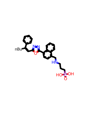 CCCCC(=Cc1nnc(-c2ccc(CNCCCP(=O)(O)O)c3ccccc23)o1)c1ccccc1